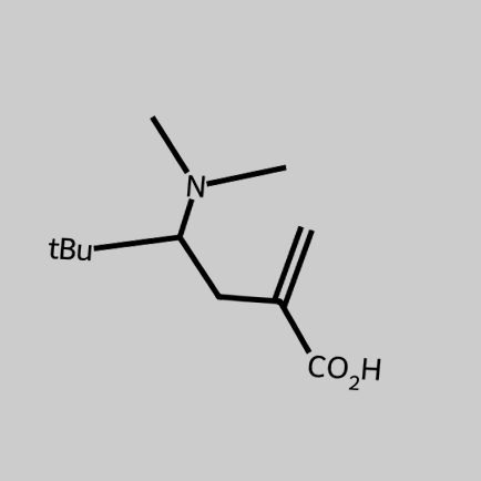 C=C(CC(N(C)C)C(C)(C)C)C(=O)O